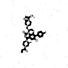 C=CC(=O)N1CCN(c2nc(=O)n3c4c(c(-c5ccc(F)cc5)c(Cl)cc24)SC[C@@H]3CN2CCn3c(nnc3C(F)(F)F)C2)[C@@H](C)C1